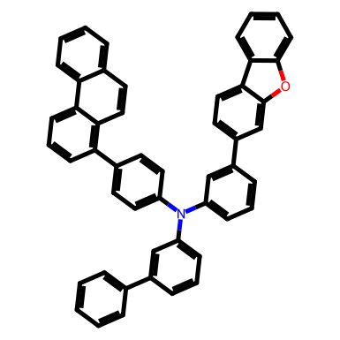 c1ccc(-c2cccc(N(c3ccc(-c4cccc5c4ccc4ccccc45)cc3)c3cccc(-c4ccc5c(c4)oc4ccccc45)c3)c2)cc1